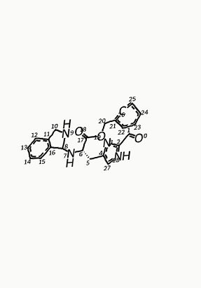 O=Cc1nc(C[C@H](NC2NCc3ccccc32)C(=O)OCc2ccccc2)c[nH]1